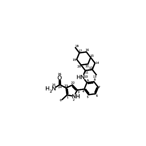 Cc1[nH]c(-c2ccccc2NC2C(C)CC3CC(C)CC2C3)cc1C(N)=O